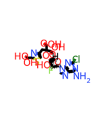 Nc1nc(Cl)nc2c1ncn2[C@@H]1O[C@@H]2C(OC(Cc3csc(C(O)O)n3)(C(=O)O)C(=O)O)[C@]2(O)[C@@H]1F